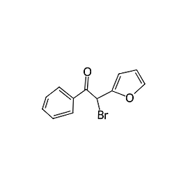 O=C(c1ccccc1)C(Br)c1ccco1